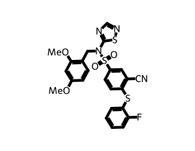 COc1ccc(CN(c2ncns2)S(=O)(=O)c2ccc(Sc3ccccc3F)c(C#N)c2)c(OC)c1